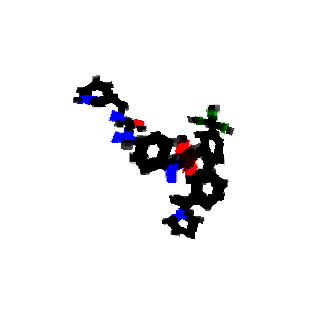 CC(c1cccc(-c2ccc(C(F)(F)F)cc2S(=O)(=O)Nc2ccc(NC(=O)NCc3cccnc3)cc2)c1)N1CCCC1